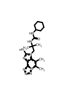 CCCc1nc2c(c(C)c(C)n3nnnc23)n1CC(C)(C)NC(=O)NC1CCCCC1